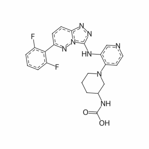 O=C(O)NC1CCCN(c2ccncc2Nc2nnc3ccc(-c4c(F)cccc4F)nn23)C1